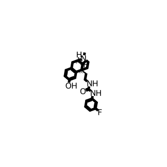 C[C@H]1[C@H]2Cc3ccc(O)cc3[C@@]1(CCNC(=O)Nc1cccc(F)c1)CCN2C